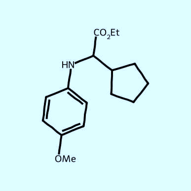 CCOC(=O)C(Nc1ccc(OC)cc1)C1CCCC1